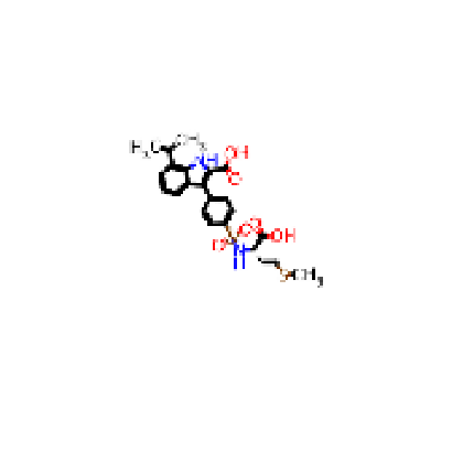 CSCC[C@H](NS(=O)(=O)c1ccc(-c2c(C(=O)O)[nH]c3c(C(C)C)cccc23)cc1)C(=O)O